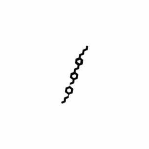 CCCCCc1ccc(CCC2=CCC(CC[C@H]3CC[C@H](CCCC)CC3)CC2)cc1